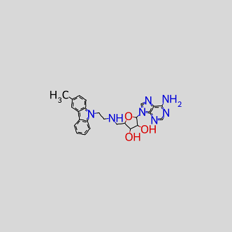 Cc1ccc2c(c1)c1ccccc1n2CCNCC1OC(n2cnc3c(N)ncnc32)C(O)C1O